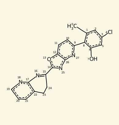 Cc1cc(Cl)cc(O)c1-c1ccc2oc(C3=Nc4ncccc4CC3)nc2n1